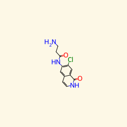 NCCC(=O)Nc1cc2cc[nH]c(=O)c2cc1Cl